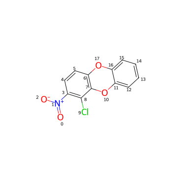 O=[N+]([O-])c1ccc2c(c1Cl)Oc1ccccc1O2